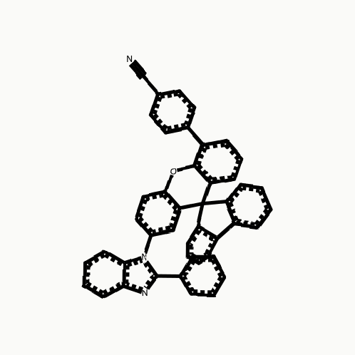 N#Cc1ccc(-c2cccc3c2Oc2ccc(-n4c(-c5ccccc5)nc5ccccc54)cc2C32c3ccccc3-c3ccccc32)cc1